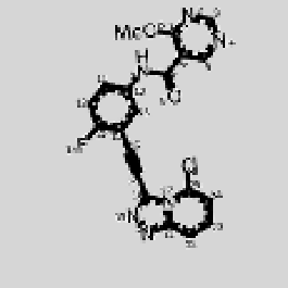 COc1ncncc1C(=O)Nc1ccc(F)c(C#Cc2nnc3cccc(Cl)n23)c1